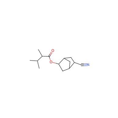 CC(C)C(C)C(=O)OC1CC2CC1CC2C#N